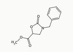 COC(=O)C1CN(Cc2ccccc2)C(=O)O1